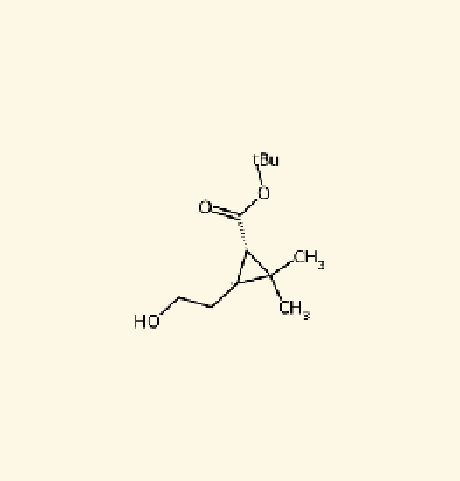 CC(C)(C)OC(=O)[C@H]1[C](CCO)C1(C)C